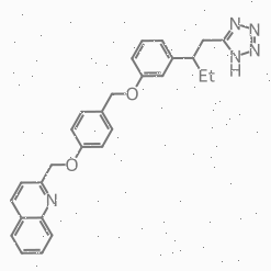 CCC(Cc1nnn[nH]1)c1cccc(OCc2ccc(OCc3ccc4ccccc4n3)cc2)c1